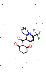 CCc1nc(C(F)(F)F)ccc1C(=O)C1C(=O)CCCC1=O